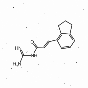 N=C(N)NC(=O)C=Cc1cccc2c1CCC2